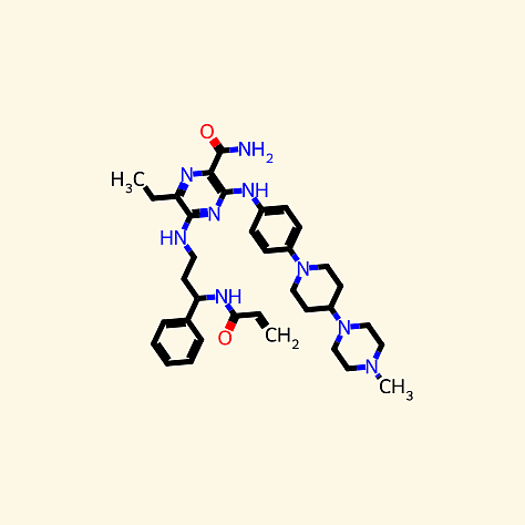 C=CC(=O)NC(CCNc1nc(Nc2ccc(N3CCC(N4CCN(C)CC4)CC3)cc2)c(C(N)=O)nc1CC)c1ccccc1